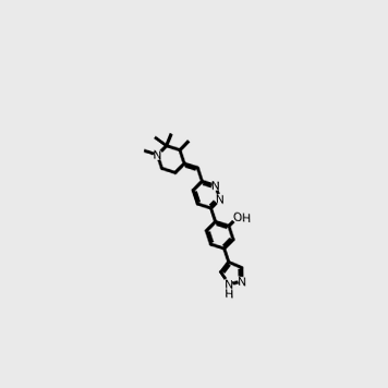 CC1C(=Cc2ccc(-c3ccc(-c4cn[nH]c4)cc3O)nn2)CCN(C)C1(C)C